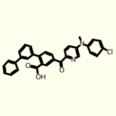 CN(c1ccc(Cl)cc1)c1ccc(C(=O)c2ccc(-c3cccc(-c4ccccc4)c3)c(C(=O)O)c2)nc1